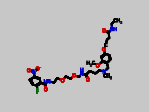 CCNC(=O)CCCOc1ccc(CN(C)CCCC(=O)NCOCCOCCNC(=O)c2cc([N+](=O)[O-])ccc2F)c(OC)c1